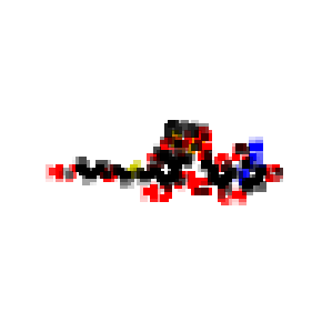 COP(=O)(OCC1OC(n2ccc(=O)[nH]c2=O)C(O)C1O)OP(=O)(OC)O[C@H]1OC(CSCCOCCCO)[C@@H](O)[C@H](O)C1C